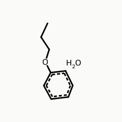 CCCOc1ccccc1.O